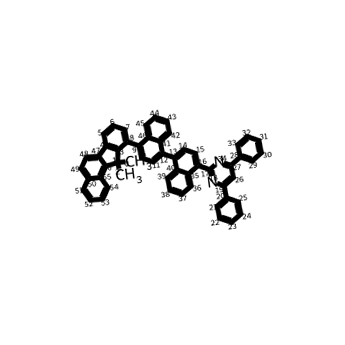 CC1(C)c2c(cccc2-c2ccc(-c3ccc(-c4nc(-c5ccccc5)cc(-c5ccccc5)n4)c4ccccc34)c3ccccc23)-c2ccc3ccccc3c21